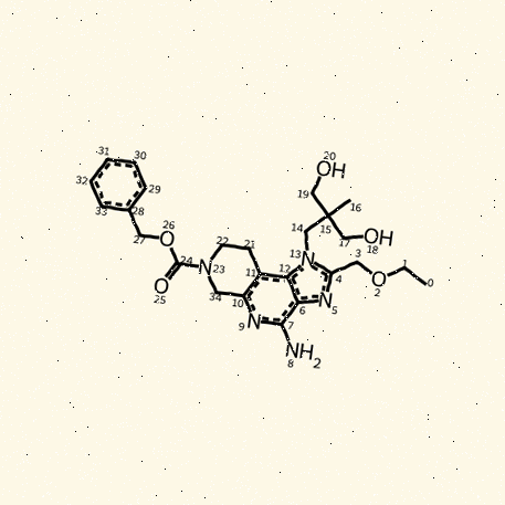 CCOCc1nc2c(N)nc3c(c2n1CC(C)(CO)CO)CCN(C(=O)OCc1ccccc1)C3